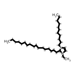 CCCCCCCCCCCCCCCCCC1N(CC)C=CN1CCCCCCCCCCC